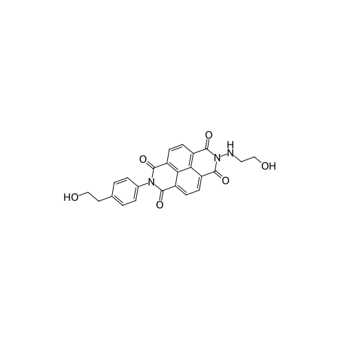 O=C1c2ccc3c4c(ccc(c24)C(=O)N1NCCO)C(=O)N(c1ccc(CCO)cc1)C3=O